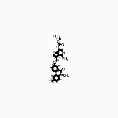 CCOC(=O)Oc1cnc(N)c2c(COc3cccc(C(=O)N(C)c4ccc(Cl)cc4)c3)csc12